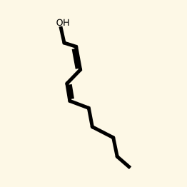 CCCCC/C=C\C=C/CO